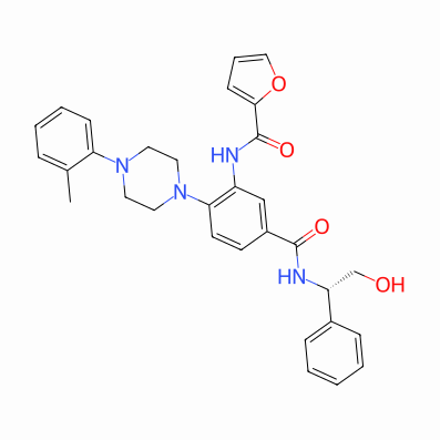 Cc1ccccc1N1CCN(c2ccc(C(=O)N[C@H](CO)c3ccccc3)cc2NC(=O)c2ccco2)CC1